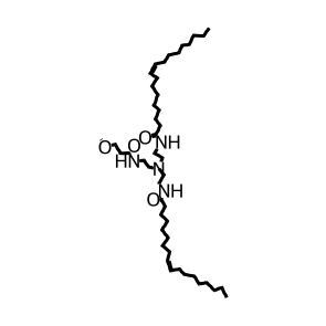 CCCCCCCC/C=C\CCCCCCCC(=O)NCCN(CCNC(=O)CCCCCCC/C=C\CCCCCCCC)CCNC(=O)CCOC